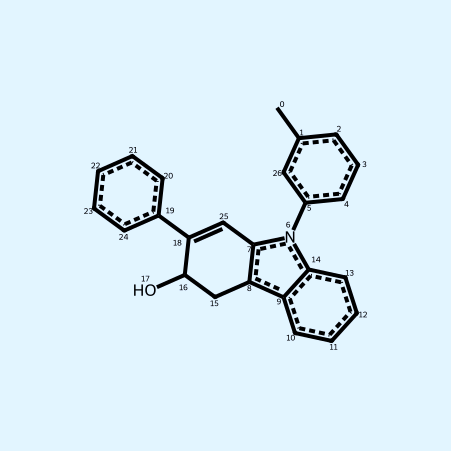 Cc1cccc(-n2c3c(c4ccccc42)CC(O)C(c2ccccc2)=C3)c1